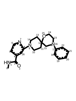 CNC(=O)c1ccnc(N2CCC3(CC2)CN(c2ccccc2)CCO3)c1